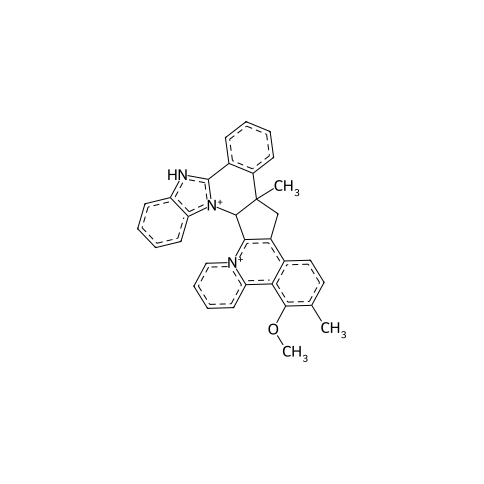 COc1c(C)ccc2c3c([n+]4ccccc4c12)C1[n+]2c([nH]c4ccccc42)-c2ccccc2C1(C)C3